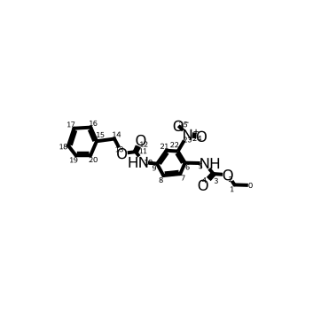 CCOC(=O)Nc1ccc(NC(=O)OCc2ccccc2)cc1[N+](=O)[O-]